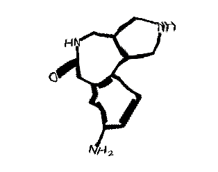 Nc1ccc2c(c1)C(=O)NCC1CNCC21